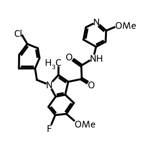 COc1cc(NC(=O)C(=O)c2c(C)n(Cc3ccc(Cl)cc3)c3cc(F)c(OC)cc23)ccn1